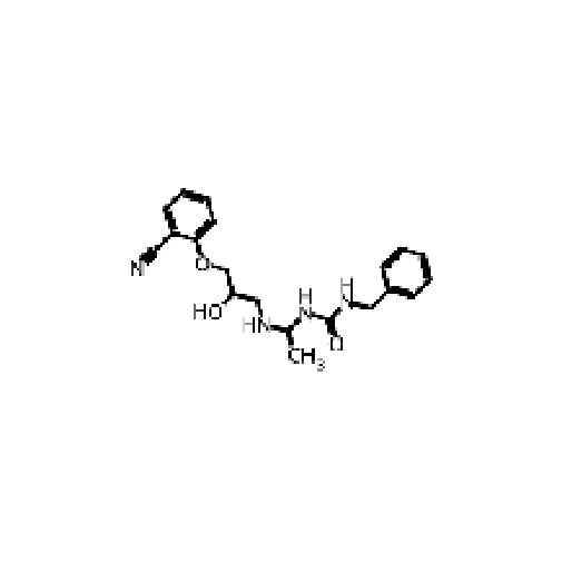 CC(NCC(O)COc1ccccc1C#N)NC(=O)NCc1ccccc1